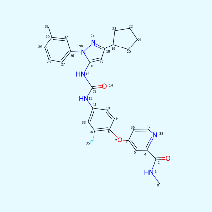 CNC(=O)c1cc(Oc2ccc(NC(=O)Nc3cc(C4CCCC4)nn3-c3cccc(C)c3)cc2F)ccn1